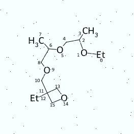 CCOC(C)COC(C)COCC1(CC)COC1